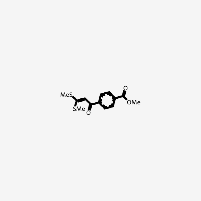 COC(=O)c1ccc(C(=O)C=C(SC)SC)cc1